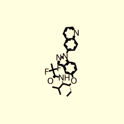 CC[C@@H](Oc1ccc2c(cnn2-c2ccc3ncccc3c2)c1)[C@@H](NC(=O)C(C)(F)F)C(C)C